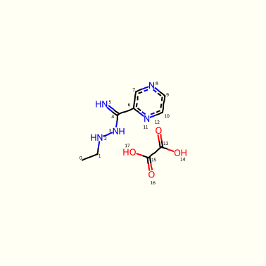 CCNNC(=N)c1cnccn1.O=C(O)C(=O)O